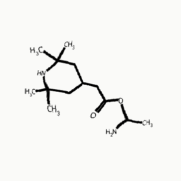 CC(N)OC(=O)CC1CC(C)(C)NC(C)(C)C1